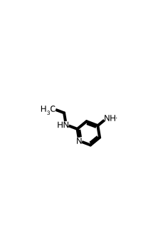 CCNc1cc([NH])ccn1